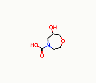 O=C(O)N1CCOCC(O)C1